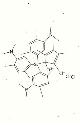 CC1=C(C)[C]([Ti+3])([Si](c2cc(N(C)C)c(C)cc2C)(c2cc(N(C)C)c(C)cc2C)c2cc(N(C)C)c(C)cc2C)C(C)=C1C.[Cl-].[Cl-].[Cl-]